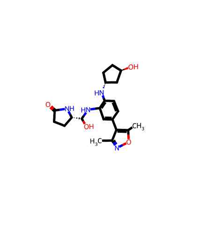 Cc1noc(C)c1-c1ccc(N[C@@H]2CC[C@@H](O)C2)c(NC(O)[C@@H]2CCC(=O)N2)c1